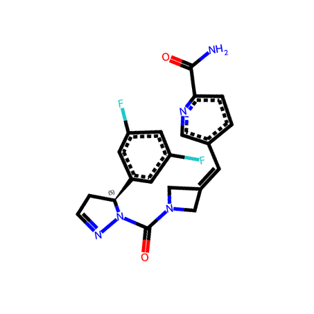 NC(=O)c1ccc(C=C2CN(C(=O)N3N=CC[C@H]3c3cc(F)cc(F)c3)C2)cn1